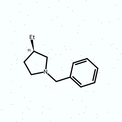 [CH2+][CH-][C@@H]1CCN(Cc2ccccc2)C1